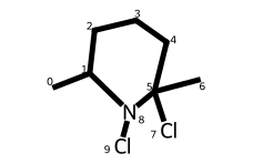 CC1CCCC(C)(Cl)N1Cl